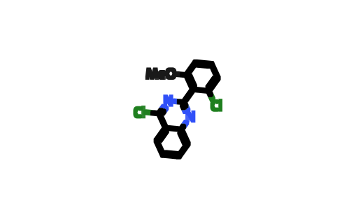 COc1cccc(Cl)c1-c1nc(Cl)c2ccccc2n1